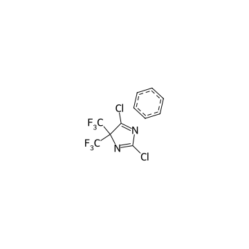 FC(F)(F)C1(C(F)(F)F)N=C(Cl)N=C1Cl.c1ccccc1